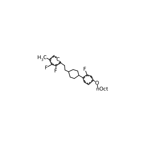 CCCCCCCCOc1ccc(C2CCC(CCc3ccc(C)c(F)c3F)CC2)c(F)c1